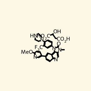 COc1ccc(-c2ccc3ncc4c(c3c2)n(-c2ccc(N3CCNCC3)c(C(F)(F)F)c2)c(=O)n4C)cn1.O=C(O)CC(O)C(=O)O